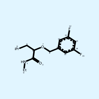 CCNC(=O)C(CC(C)C)OCc1cc(F)cc(F)c1